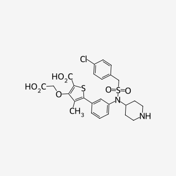 Cc1c(-c2cccc(N(C3CCNCC3)S(=O)(=O)Cc3ccc(Cl)cc3)c2)sc(C(=O)O)c1OCC(=O)O